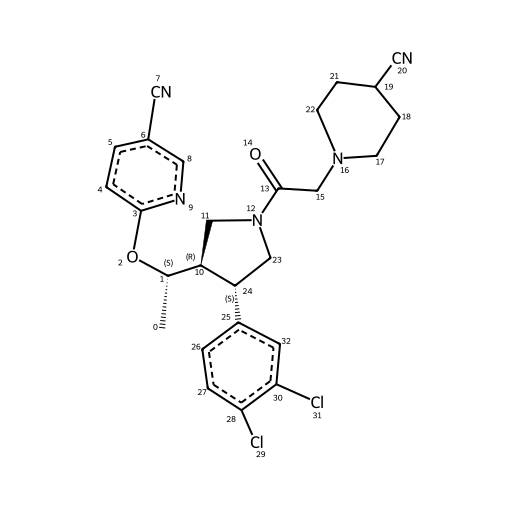 C[C@H](Oc1ccc(C#N)cn1)[C@H]1CN(C(=O)CN2CCC(C#N)CC2)C[C@@H]1c1ccc(Cl)c(Cl)c1